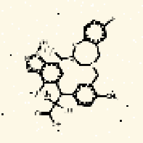 CC[C@@H]1CN(Cc2cc(C(c3ccc4c(nnn4C)c3C)C(C)(C)C(=O)O)ccc2C)Cc2cc(F)ccc2O1